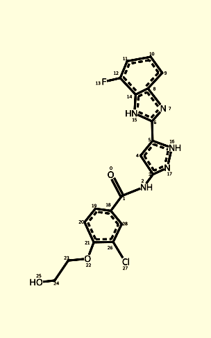 O=C(Nc1cc(-c2nc3cccc(F)c3[nH]2)[nH]n1)c1ccc(OCCO)c(Cl)c1